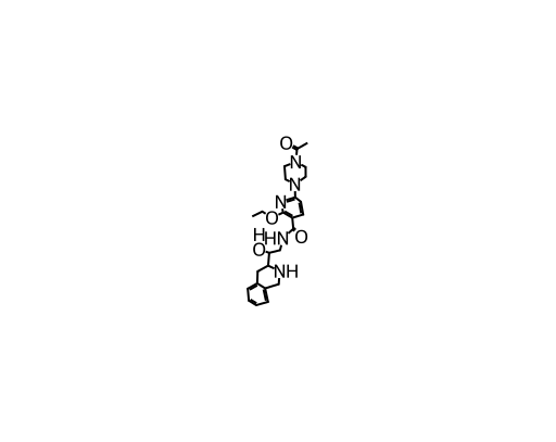 CCOc1nc(N2CCN(C(C)=O)CC2)ccc1C(=O)NCC(O)C1Cc2ccccc2CN1